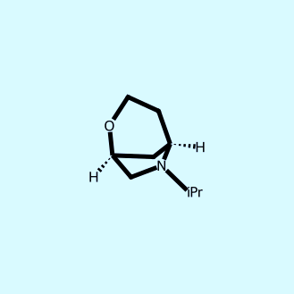 CC(C)N1C[C@@H]2C[C@H]1CCO2